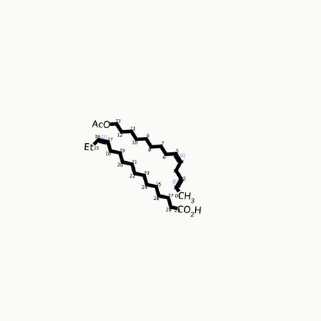 C/C=C/C/C=C\CCCCCCCCOC(C)=O.CC/C=C\CCCCCCCCCCCC(=O)O